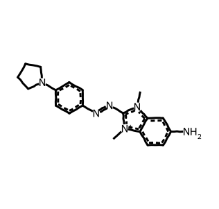 Cn1c(/N=N/c2ccc(N3CCCC3)cc2)[n+](C)c2ccc(N)cc21